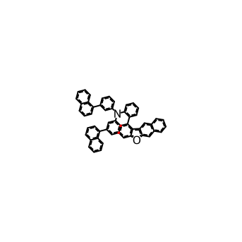 c1cc(-c2cccc3ccccc23)cc(N(c2cccc(-c3cccc4ccccc34)c2)c2ccccc2-c2cccc3oc4cc5ccccc5cc4c23)c1